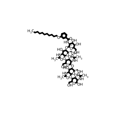 CCCCCCCCCCCOc1cccc(C(=O)N[C@@H]2C(O[C@H]3C(O)C(NC(C)=O)[C@H](OC4C(CO)O[C@@H](O[C@H]5C(O)C(NC(C)=O)C(OC6C(CO)OC(O)[C@@H](NC(C)=O)[C@H]6O)O[C@H]5CO)[C@@H](NC(C)=O)[C@H]4O)O[C@H]3CO)OC(CO)[C@@H](O)[C@@H]2O)c1